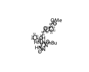 CCCCOc1nc2nc(=O)[nH]c-2c(NC(OCCCN(C)Cc2cccc(CC(=O)OC)c2)c2ccccc2)[nH]1